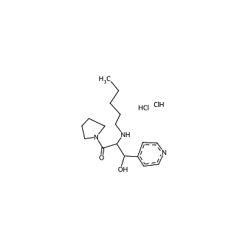 CCCCCNC(C(=O)N1CCCC1)C(O)c1ccncc1.Cl.Cl